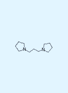 C1CCN(CCCN2CCCC2)C1